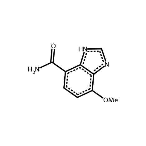 COc1ccc(C(N)=O)c2[nH]cnc12